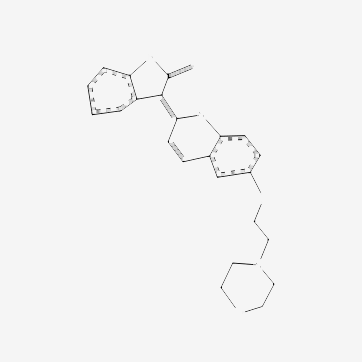 O=C1Nc2ccccc2/C1=C1\C=Cc2cc(OCCN3CCOCC3)ccc2N1